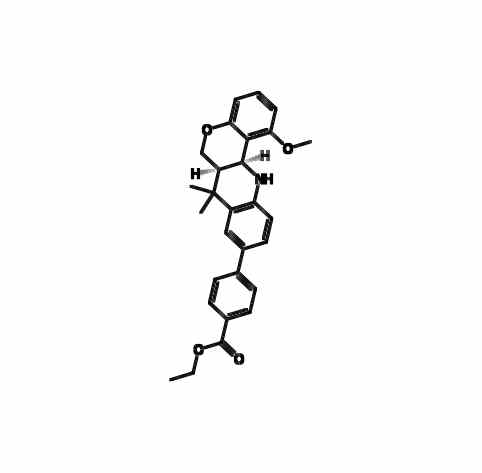 CCOC(=O)c1ccc(-c2ccc3c(c2)C(C)(C)[C@H]2COc4cccc(OC)c4[C@H]2N3)cc1